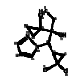 CC[C@](O)(C([C@H]1CC1(Cl)Cl)n1cncn1)C1(Cl)CC1